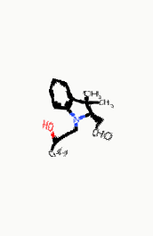 CC(O)CN1C(=CC=O)C(C)(C)c2ccccc21